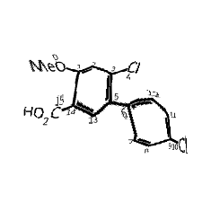 COc1cc(Cl)c(-c2ccc(Cl)cc2)cc1C(=O)O